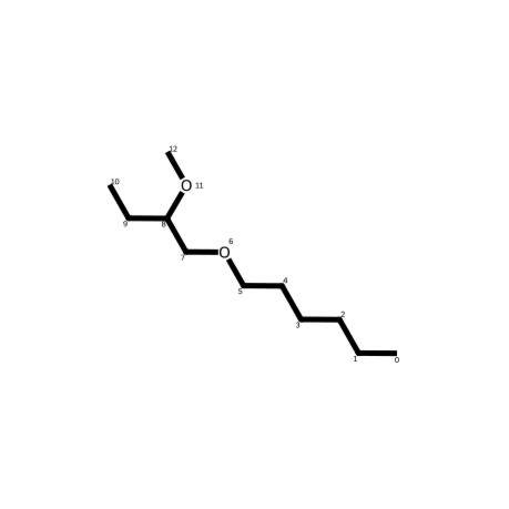 CCCCCCOCC(CC)OC